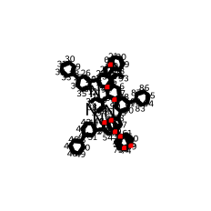 Cc1ccc(-c2cccc(-c3c(-n4c5ccc(-c6ccccc6)cc5c5cc(-c6ccccc6)ccc54)cnc(-n4c5ccc(-c6ccccc6)cc5c5cc(-c6ccccc6)ccc54)c3-n3c4ccc(-c5ccccc5)cc4c4cc(-c5ccccc5)ccc43)c2)c(C)n1